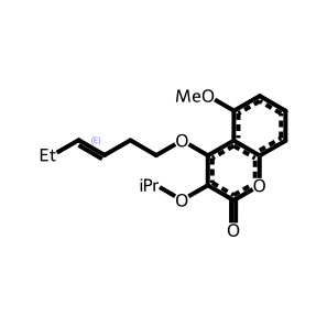 CC/C=C/CCOc1c(OC(C)C)c(=O)oc2cccc(OC)c12